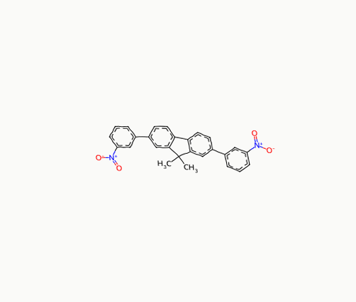 CC1(C)c2cc(-c3cccc([N+](=O)[O-])c3)ccc2-c2ccc(-c3cccc([N+](=O)[O-])c3)cc21